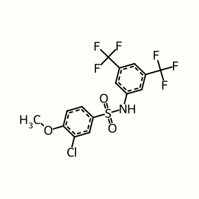 COc1ccc(S(=O)(=O)Nc2cc(C(F)(F)F)cc(C(F)(F)F)c2)cc1Cl